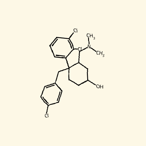 CN(C)CC1CC(O)CCC1(Cc1ccc(Cl)cc1)c1cccc(Cl)c1Cl